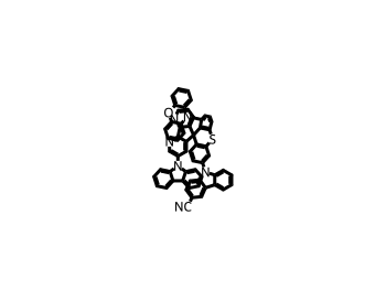 N#Cc1ccc2c(c1)c1ccccc1n2-c1ccc2c(c1)Sc1cccc(N3c4ccccc4Oc4ccccc43)c1C21c2cccnc2-c2ncc(-n3c4ccccc4c4ccccc43)cc21